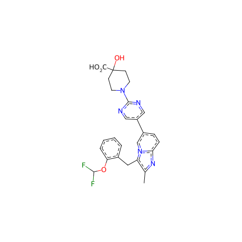 Cc1nc2ccc(-c3cnc(N4CCC(O)(C(=O)O)CC4)nc3)cn2c1Cc1ccccc1OC(F)F